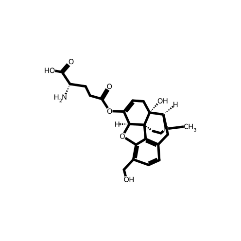 CN1CC[C@]23c4c5ccc(CO)c4O[C@H]2C(OC(=O)CC[C@H](N)C(=O)O)=CC[C@@]3(O)[C@H]1C5